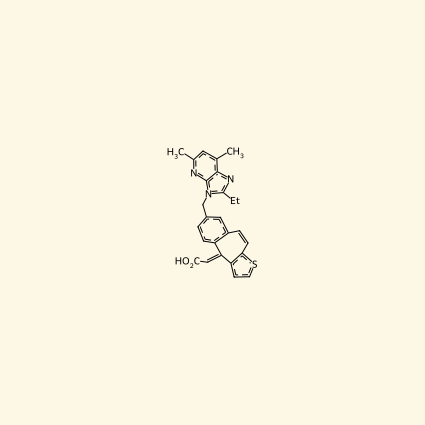 CCc1nc2c(C)cc(C)nc2n1Cc1ccc2c(c1)C=Cc1sccc1C2=CC(=O)O